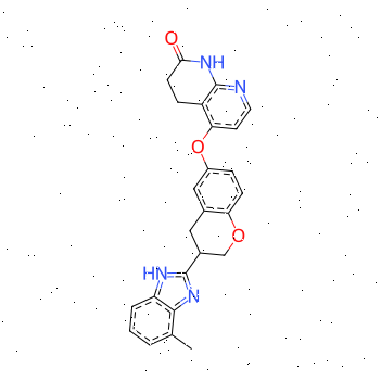 Cc1cccc2[nH]c(C3COc4ccc(Oc5ccnc6c5CCC(=O)N6)cc4C3)nc12